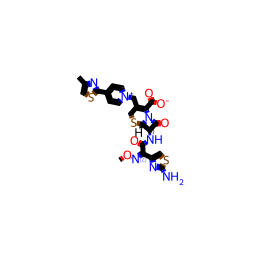 CO/N=C(\C(=O)N[C@@H]1C(=O)N2C(C(=O)[O-])=C(C[n+]3ccc(-c4nc(C)cs4)cc3)CS[C@@H]12)c1csc(N)n1